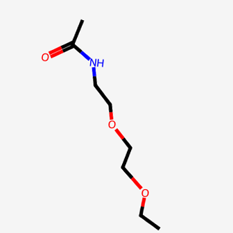 CCOCCOCCNC(C)=O